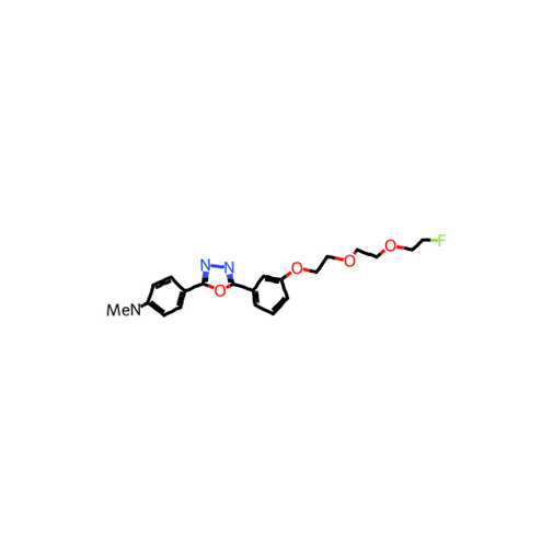 CNc1ccc(-c2nnc(-c3cccc(OCCOCCOCCF)c3)o2)cc1